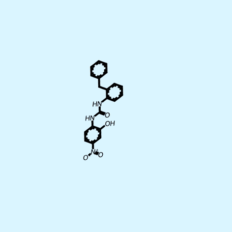 O=C(Nc1ccc([N+](=O)[O-])cc1O)Nc1ccccc1Cc1ccccc1